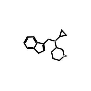 C1=C(CN(C2CC2)C2CCCNC2)c2ccccc2C1